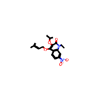 CCn1c(=O)c(OC(C)C)c(OCC=C(C)C)c2ccc([N+](=O)[O-])cc21